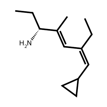 CCC(=C/C1CC1)/C=C(\C)[C@H](N)CC